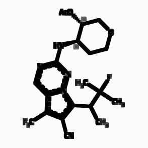 CC(=O)O[C@@H]1COCC[C@H]1Nc1ncc2c(C(F)(F)F)c(C#N)c(C(C)C(C)(C)F)n2n1